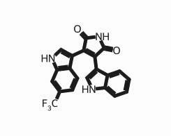 O=C1NC(=O)C(c2c[nH]c3cc(C(F)(F)F)ccc23)=C1c1c[nH]c2ccccc12